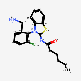 CCCCCC(=O)NC1Sc2ccccc2N1c1c(Cl)cccc1CN